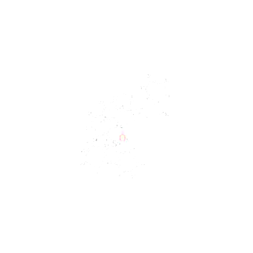 CCC(CCO[Si](c1ccccc1)(c1ccccc1)c1ccccc1)(C1=CC=CC1)C1CCC2CC=CC=C21